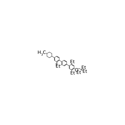 CCc1cc(-c2ccc(-c3ccc(C4CCC(C)CC4)cc3F)c(CC)c2)c(CC)cc1OCC(CC)(CC)CC